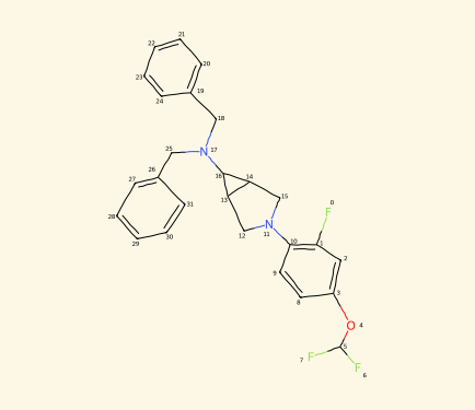 Fc1cc(OC(F)F)ccc1N1CC2C(C1)C2N(Cc1ccccc1)Cc1ccccc1